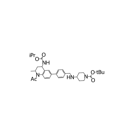 CC(=O)N1c2ccc(-c3ccc(CNC4CCN(C(=O)OC(C)(C)C)CC4)cc3)cc2C(NC(=O)OC(C)C)CC1C